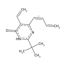 C=C/C=C\c1nc(C(C)(C)C)[nH]c(=O)c1C=C